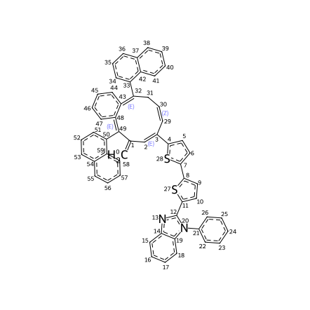 C=C1/C=C(c2ccc(-c3ccc(-c4nc5ccccc5n4-c4ccccc4)s3)s2)\C=C/C/C(c2cccc3ccccc23)=c2/cccc/c2=C/1c1cccc2ccccc12